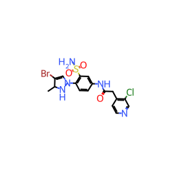 CC1NN(c2ccc(NC(=O)Cc3ccncc3Cl)cc2S(N)(=O)=O)C=C1Br